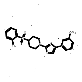 COc1cccc(-c2csc(N3CCC(S(=O)(=O)c4ccccc4C#N)CC3)n2)c1